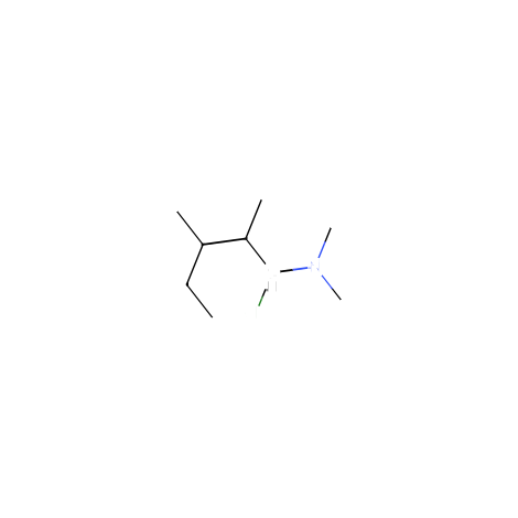 CCC(C)C(C)[SiH](Cl)N(C)C